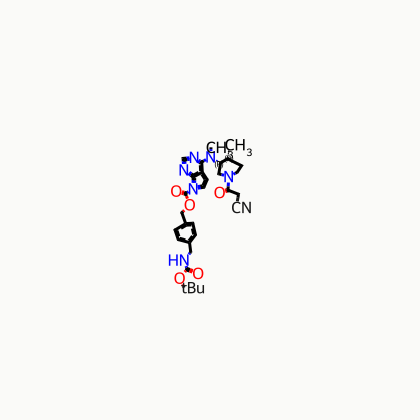 C[C@@H]1CCN(C(=O)CC#N)C[C@@H]1N(C)c1ncnc2c1ccn2C(=O)OCc1ccc(CNC(=O)OC(C)(C)C)cc1